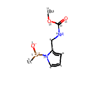 CC[S+]([O-])n1cccc1CNC(=O)OC(C)(C)C